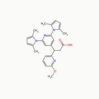 COc1cccc(C(CC(=O)O)c2cc(-n3c(C)ccc3C)nc(-n3c(C)ccc3C)c2)n1